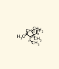 [CH]=C(C)C(CC)C(C)(C=C)CC